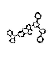 c1ccc(-c2cccc(-c3nc(-c4ccccc4)nc(-c4ccc5c6c(cccc46)-c4ccc(-n6c7ccccc7c7ccccc76)cc4O5)n3)c2)cc1